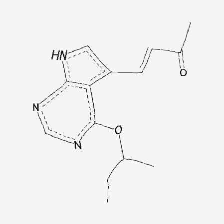 CCC(C)Oc1ncnc2[nH]cc(C=CC(C)=O)c12